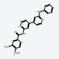 Cc1cc(C(=O)Nc2cc(-c3ccnc(Nc4ccccc4)c3)ccn2)ccc1C(=O)O